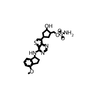 COc1cccc2c1CCC2Nc1ncnc2c(C3CC(O)C(COS(N)(=O)=O)C3)csc12